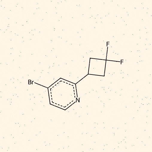 FC1(F)CC(c2cc(Br)ccn2)C1